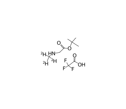 O=C(O)C(F)(F)F.[2H]C([2H])([2H])NCC(=O)OC(C)(C)C